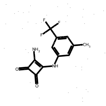 Cc1cc(Nc2c(N)c(=O)c2=O)cc(C(F)(F)F)c1